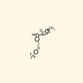 Cn1cc(C(=O)Nc2c[nH]c3ccc(CCOc4ccc(C(F)(F)F)cc4)cc23)nn1